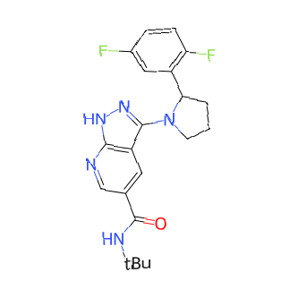 CC(C)(C)NC(=O)c1cnc2[nH]nc(N3CCCC3c3cc(F)ccc3F)c2c1